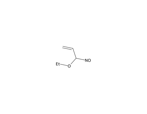 C=CC(N=O)OCC